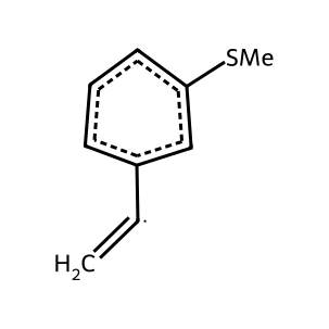 C=[C]c1cccc(SC)c1